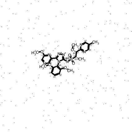 COc1cncc(-c2nnc(NS(=O)(=O)[C@@H](C)[C@H](OC)c3ncc(C)cn3)n2-c2c(OC)cccc2OC)n1